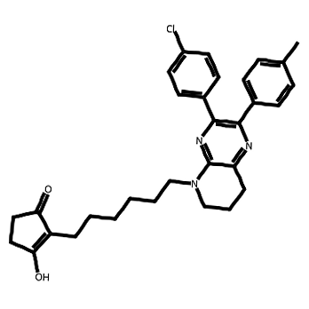 Cc1ccc(-c2nc3c(nc2-c2ccc(Cl)cc2)N(CCCCCCC2=C(O)CCC2=O)CCC3)cc1